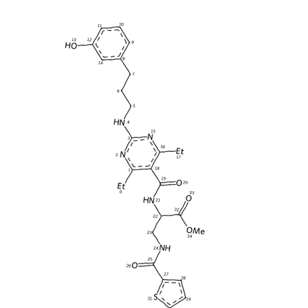 CCc1nc(NCCCc2cccc(O)c2)nc(CC)c1C(=O)NC(CNC(=O)c1cccs1)C(=O)OC